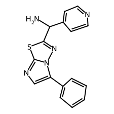 NC(c1ccncc1)c1nn2c(-c3ccccc3)cnc2s1